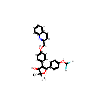 CC1(C)OC(c2ccc(OC(F)F)cc2)=C(c2ccc(OCc3ccc4ccccc4n3)cc2)C1=O